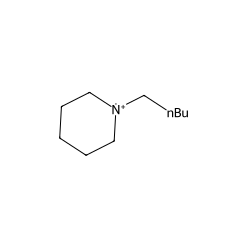 CCCCC[N+]1CCCCC1